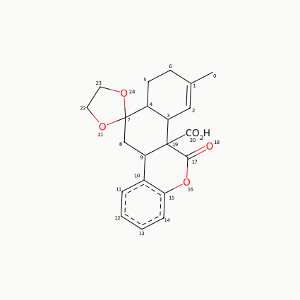 CC1=CC2C(CC1)C1(CC3c4ccccc4OC(=O)C32C(=O)O)OCCO1